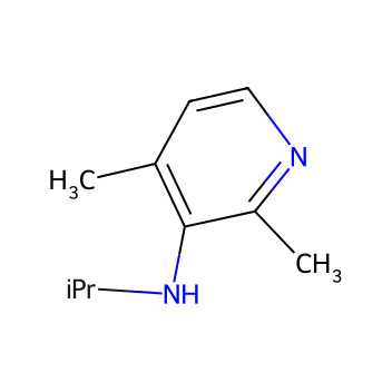 Cc1ccnc(C)c1NC(C)C